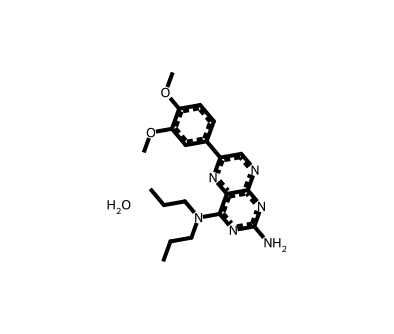 CCCN(CCC)c1nc(N)nc2ncc(-c3ccc(OC)c(OC)c3)nc12.O